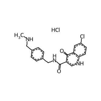 CNCc1ccc(CNC(=O)c2c[nH]c3ccc(Cl)cc3c2=O)cc1.Cl